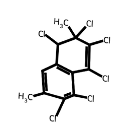 Cc1cc2c(c(Cl)c1Cl)C(Cl)=C(Cl)C(C)(Cl)C2Cl